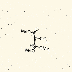 COC(=O)C(C)=C[SiH](OC)OC